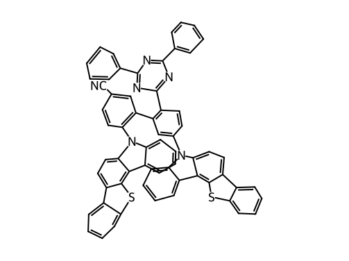 N#Cc1ccc(-n2c3ccccc3c3c4sc5ccccc5c4ccc32)c(-c2cc(-n3c4ccccc4c4c5sc6ccccc6c5ccc43)ccc2-c2nc(-c3ccccc3)nc(-c3ccccc3)n2)c1